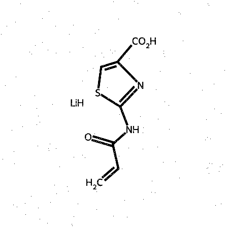 C=CC(=O)Nc1nc(C(=O)O)cs1.[LiH]